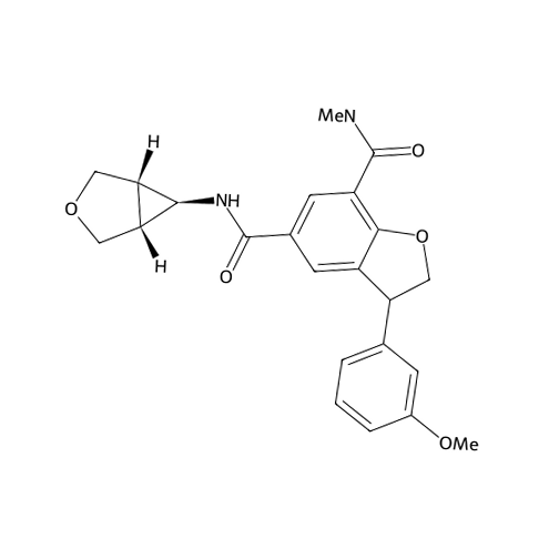 CNC(=O)c1cc(C(=O)N[C@H]2[C@@H]3COC[C@@H]32)cc2c1OCC2c1cccc(OC)c1